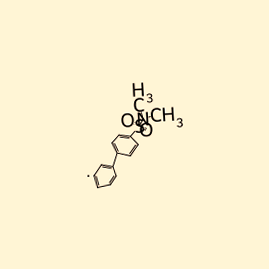 CN(C)S(=O)(=O)c1ccc(-c2c[c]ccc2)cc1